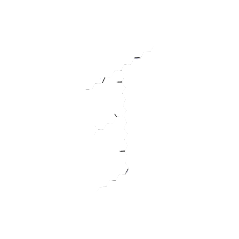 CCC/C=C/CCC(CC/C=C/CCC)OC(=O)CCCCCN(CCCCCC(=O)OC/C=C\CCCCCC)C(=O)CCCN(C)C